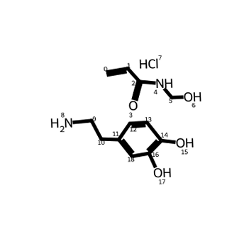 C=CC(=O)NCO.Cl.NCCc1ccc(O)c(O)c1